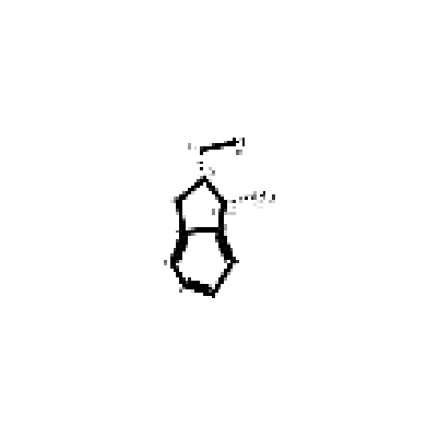 CCO[C@H]1Cc2ccccc2[C@H]1C(C)(C)C